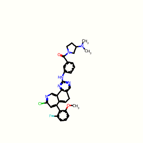 COc1cccc(F)c1C1=CC(Cl)=NC=C2C1=CCc1cnc(Nc3cccc(C(=O)N4CCC(N(C)C)C4)c3)nc12